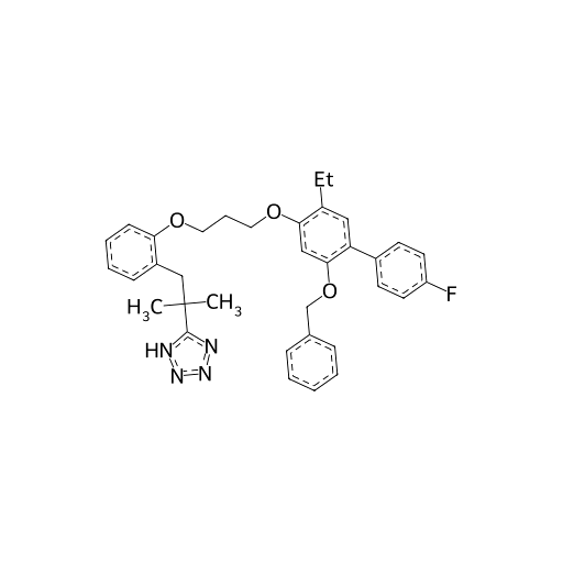 CCc1cc(-c2ccc(F)cc2)c(OCc2ccccc2)cc1OCCCOc1ccccc1CC(C)(C)c1nnn[nH]1